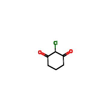 O=C1CCCC(=O)C1Cl